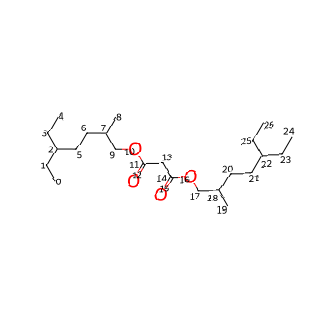 CCC(CC)CCC(C)COC(=O)CC(=O)OCC(C)CCC(CC)CC